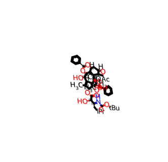 CC(=O)O[C@@]12CO[C@@H]1C[C@@H]1O[C@H](c3ccccc3)O[C@H]3[C@@H](O)C4=C(C)[C@@H](OC(=O)[C@H](O)[C@H](CC(C)C)NC(=O)OC(C)(C)C)C[C@@]4(C(C)(C)O)[C@@H](OC(=O)c4ccccc4)[C@H]2[C@@]13C